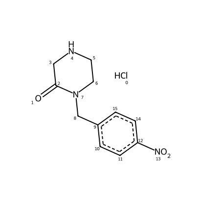 Cl.O=C1CNCCN1Cc1ccc([N+](=O)[O-])cc1